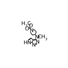 COC(=O)N1CCC(N(C)c2ncnc3[nH]ccc23)CC1